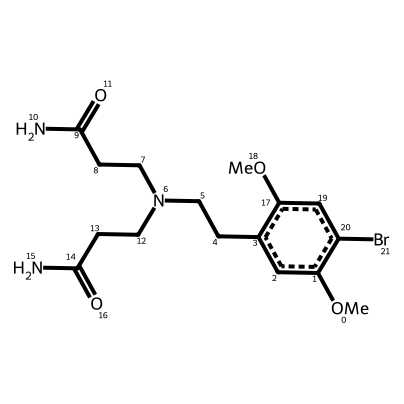 COc1cc(CCN(CCC(N)=O)CCC(N)=O)c(OC)cc1Br